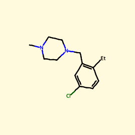 CCc1ccc(Cl)cc1CN1CCN(C)CC1